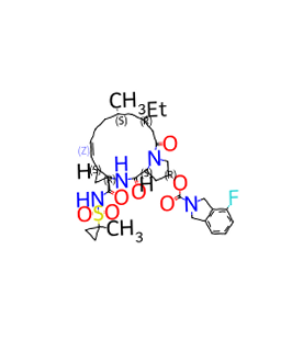 CC[C@H]1CC(=O)N2C[C@H](OC(=O)N3Cc4cccc(F)c4C3)C[C@H]2C(=O)N[C@]2(C(=O)NS(=O)(=O)C3(C)CC3)C[C@H]2/C=C\CC[C@H](C)C1